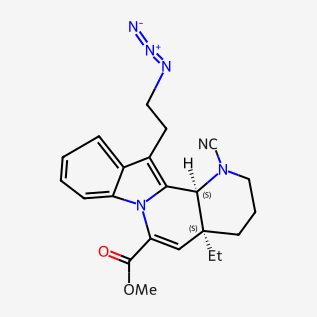 CC[C@]12C=C(C(=O)OC)n3c(c(CCN=[N+]=[N-])c4ccccc43)[C@H]1N(C#N)CCC2